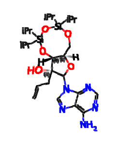 C=CC[C@]1(O)C(n2cnc3c(N)ncnc32)O[C@@H]2CO[Si](C(C)C)(C(C)C)O[Si](C(C)C)(C(C)C)O[C@H]21